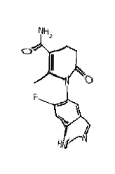 CC1=C(C(N)=O)CCC(=O)N1c1cc2cn[nH]c2cc1F